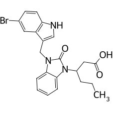 CCCC(CC(=O)O)n1c(=O)n(Cc2c[nH]c3ccc(Br)cc23)c2ccccc21